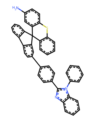 Nc1ccc2c(c1)C1(c3ccccc3S2)c2ccccc2-c2ccc(-c3ccc(-c4nc5ccccc5n4-c4ccccc4)cc3)cc21